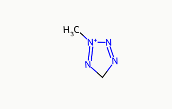 C[N+]1=NCN=N1